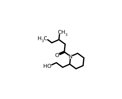 CCC(C)CC(=O)N1CCCCC1CCO